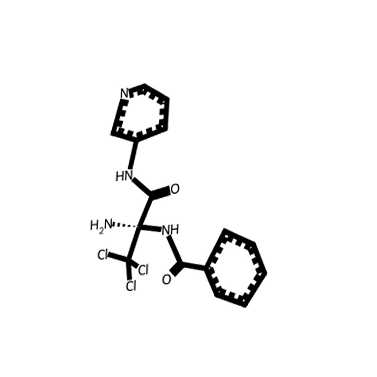 N[C@@](NC(=O)c1ccccc1)(C(=O)Nc1cccnc1)C(Cl)(Cl)Cl